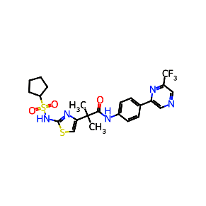 CC(C)(C(=O)Nc1ccc(-c2cncc(C(F)(F)F)n2)cc1)c1csc(NS(=O)(=O)C2CCCC2)n1